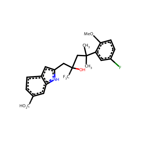 COc1ccc(F)cc1C(C)(C)CC(O)(Cc1cc2ccc(C(=O)O)cc2[nH]1)C(F)(F)F